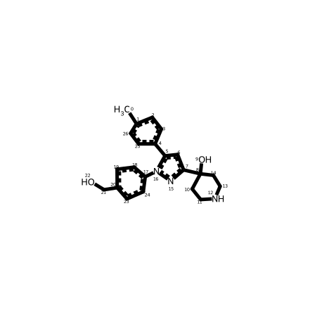 Cc1ccc(-c2cc(C3(O)CCNCC3)nn2-c2ccc(CO)cc2)cc1